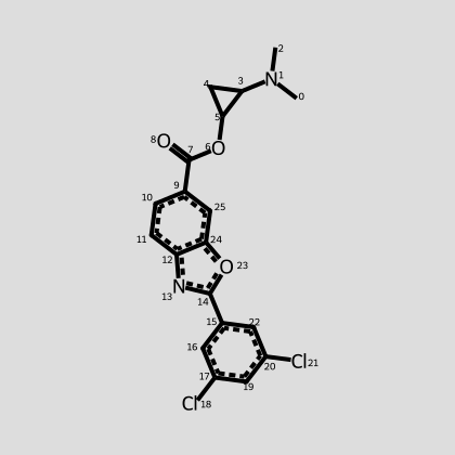 CN(C)C1CC1OC(=O)c1ccc2nc(-c3cc(Cl)cc(Cl)c3)oc2c1